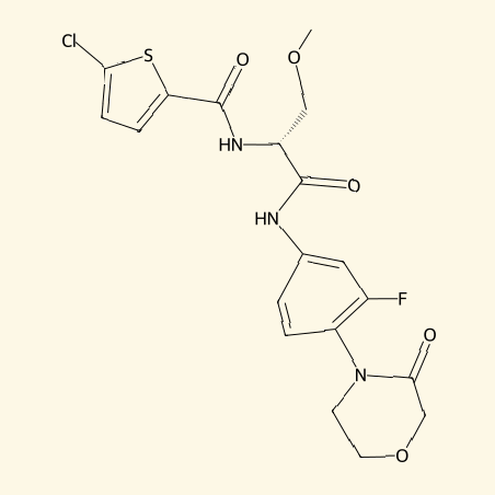 COC[C@@H](NC(=O)c1ccc(Cl)s1)C(=O)Nc1ccc(N2CCOCC2=O)c(F)c1